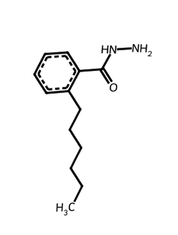 CCCCCCc1ccccc1C(=O)NN